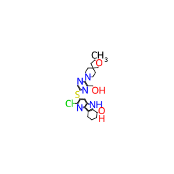 C[C@H]1CC2(CCN(c3ncc(Sc4cc5[nH]c6c(c5nc4Cl)CCCC6O)nc3CO)CC2)CO1